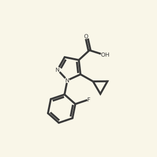 O=C(O)c1cnn(-c2ccccc2F)c1C1CC1